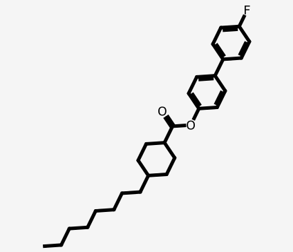 CCCCCCCCC1CCC(C(=O)Oc2ccc(-c3ccc(F)cc3)cc2)CC1